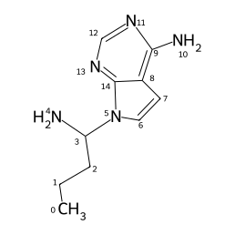 CCCC(N)n1ccc2c(N)ncnc21